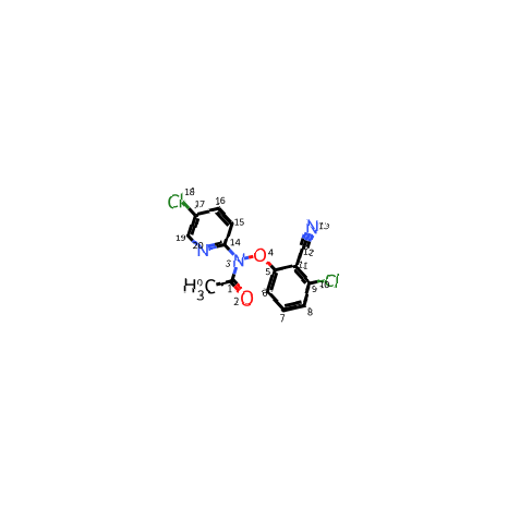 CC(=O)N(Oc1cccc(Cl)c1C#N)c1ccc(Cl)cn1